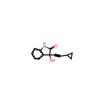 O=C1Nc2ccccc2C1(O)C#CC1CC1